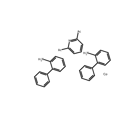 CC(=O)c1cccc(C(C)=O)n1.Nc1ccccc1-c1ccccc1.Nc1ccccc1-c1ccccc1.[Co]